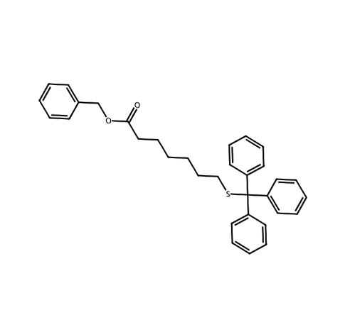 O=C(CCCCCCSC(c1ccccc1)(c1ccccc1)c1ccccc1)OCc1ccccc1